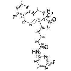 C[C@]12CCC3c4cccc(F)c4CCC3C1[C@H](CCCC(=O)Nc1cccc(F)n1)CC2=O